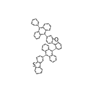 c1ccc(-c2c3ccccc3c(-c3ccc4c(c3)oc3cccc(-c5c6ccccc6c(-c6ccc7sc8ccccc8c7c6)c6ccccc56)c34)c3ccccc23)cc1